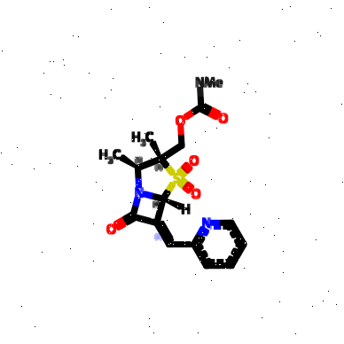 CNC(=O)OC[C@@]1(C)[C@H](C)N2C(=O)/C(=C/c3ccccn3)[C@H]2S1(=O)=O